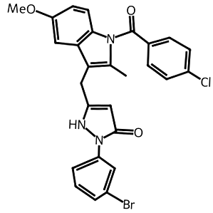 COc1ccc2c(c1)c(Cc1cc(=O)n(-c3cccc(Br)c3)[nH]1)c(C)n2C(=O)c1ccc(Cl)cc1